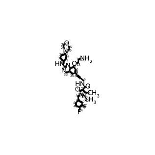 Cc1c(C(=O)NCC#Cc2cc(OCCN)c3nc(Nc4ccc(N5CCOCC5)cc4)ncc3c2)c(=O)n(Cc2ccc(F)c(F)c2)n1C